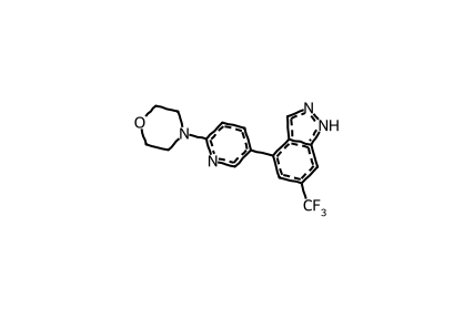 FC(F)(F)c1cc(-c2ccc(N3CCOCC3)nc2)c2cn[nH]c2c1